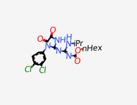 CCCCCCOC(=O)N=C(N=C1NC(=O)C(=O)N1c1ccc(Cl)c(Cl)c1)NC(C)C